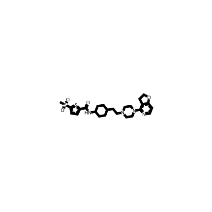 CS(=O)(=O)c1ccc(C(=O)NC2CCC(CCN3CCN(c4nccc5c4CCO5)CC3)CC2)s1